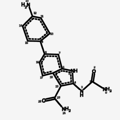 NC(=O)Nc1[nH]c2cc(-c3ccc(N)cc3)ccc2c1C(N)=O